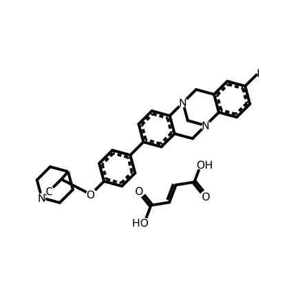 Ic1ccc2c(c1)CN1CN2Cc2cc(-c3ccc(OC4CN5CCC4CC5)cc3)ccc21.O=C(O)C=CC(=O)O